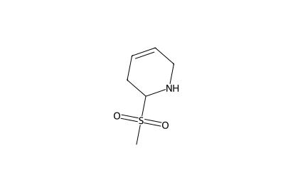 CS(=O)(=O)C1CC=CCN1